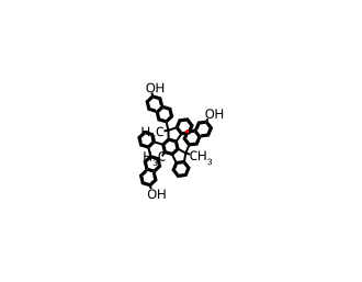 Cc1c(-c2ccccc2-c2ccc3cc(O)ccc3c2)c2c(c3c1-c1ccccc1C3(C)c1ccc3cc(O)ccc3c1)-c1ccccc1C2(C)c1ccc2cc(O)ccc2c1